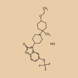 CCOC1CCC(C)(N2CCC(n3c(=O)oc4ccc(OC(F)(F)F)cc43)CC2)CC1.Cl